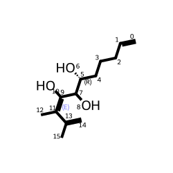 C=CCCC[C@@H](O)C(O)/C(O)=C(/C)C(=C)C